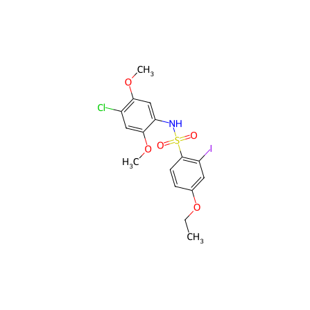 CCOc1ccc(S(=O)(=O)Nc2cc(OC)c(Cl)cc2OC)c(I)c1